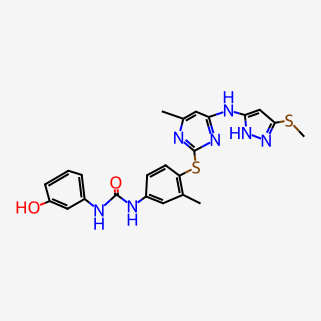 CSc1cc(Nc2cc(C)nc(Sc3ccc(NC(=O)Nc4cccc(O)c4)cc3C)n2)[nH]n1